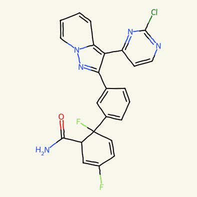 NC(=O)C1C=C(F)C=CC1(F)c1cccc(-c2nn3ccccc3c2-c2ccnc(Cl)n2)c1